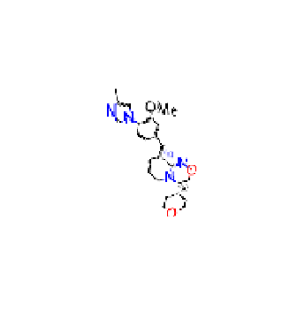 COc1cc(/C=C2\CCCN3C2=NOC[C@@H]3C2CCOCC2)ccc1-n1cnc(C)c1